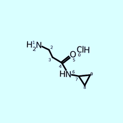 Cl.NCCC(=O)NC1CC1